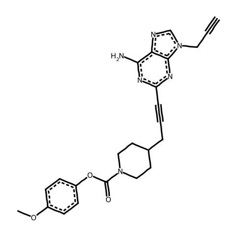 C#CCn1cnc2c(N)nc(C#CCC3CCN(C(=O)Oc4ccc(OC)cc4)CC3)nc21